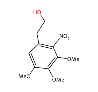 COc1cc(CCO)c([N+](=O)[O-])c(OC)c1OC